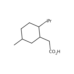 CC1CCC(C(C)C)C(CC(=O)O)C1